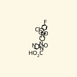 O=C(O)Cn1c(=O)n(C2CCN(S(=O)(=O)c3ccc(F)cc3Cl)CC2)c2cnccc21